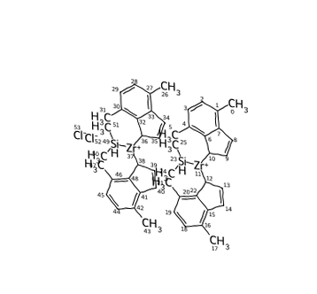 Cc1ccc(C)c2c1C=C[CH]2[Zr+]([CH]1C=Cc2c(C)ccc(C)c21)[SiH](C)C.Cc1ccc(C)c2c1C=C[CH]2[Zr+]([CH]1C=Cc2c(C)ccc(C)c21)[SiH](C)C.[Cl-].[Cl-]